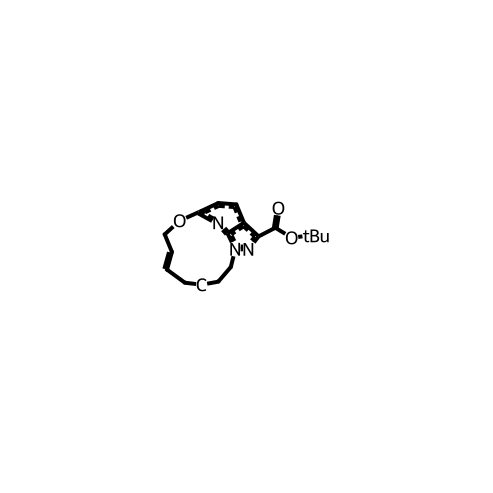 CC(C)(C)OC(=O)c1nn2c3nc(ccc13)OC/C=C/CCCC2